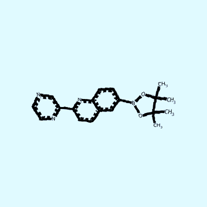 CC1(C)OB(c2ccc3nc(-c4cnccn4)ccc3c2)OC1(C)C